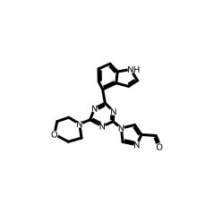 O=Cc1cn(-c2nc(-c3cccc4[nH]ccc34)nc(N3CCOCC3)n2)cn1